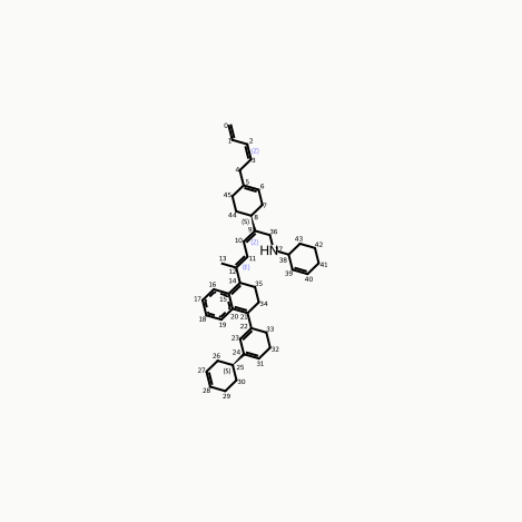 C=C/C=C\CC1=CC[C@@H](/C(=C/C=C(\C)C2=c3ccccc3=C(C3=CC([C@@H]4CC=CCC4)=CCC3)CC2)CNC2C=CCCC2)CC1